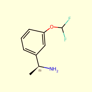 C[C@H](N)c1cccc(OC(F)F)c1